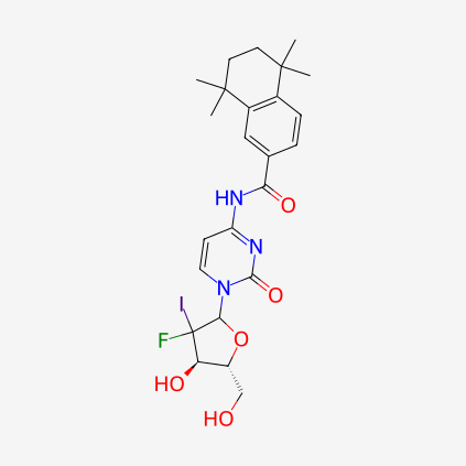 CC1(C)CCC(C)(C)c2cc(C(=O)Nc3ccn(C4O[C@H](CO)[C@@H](O)C4(F)I)c(=O)n3)ccc21